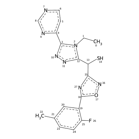 CCn1c(-c2ccncn2)nnc1C(S)c1noc(-c2cc(C)ccc2F)n1